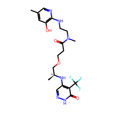 Cc1cnc(NCCN(C)C(=O)CCOC[C@H](C)Nc2cn[nH]c(=O)c2C(F)(F)F)c(O)c1